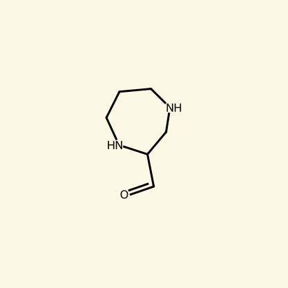 O=CC1CNCCCN1